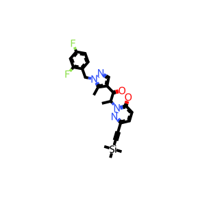 Cc1c(C(=O)C(C)n2nc(C#C[Si](C)(C)C)ccc2=O)cnn1Cc1ccc(F)cc1F